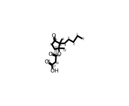 CCCCCC1(C)C(=O)CCC1(C)OC(=O)CC(=O)O